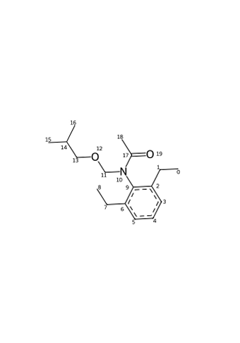 CCc1cccc(CC)c1N(COCC(C)C)C(C)=O